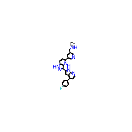 CCNCc1cncc(-c2ccc3[nH]nc(-c4cc5c(-c6ccc(F)cc6)ccnc5[nH]4)c3n2)c1